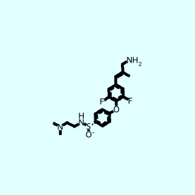 C/C(=C\c1cc(F)c(Oc2ccc([S+]([O-])NCCN(C)C)cc2)c(F)c1)CN